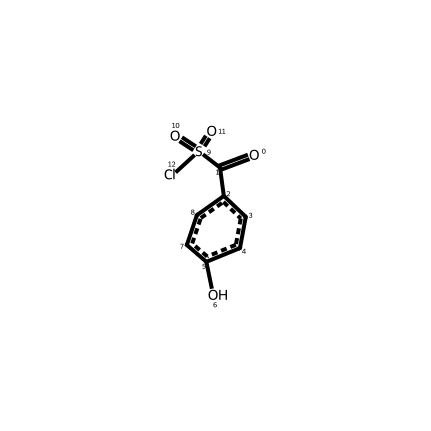 O=C(c1ccc(O)cc1)S(=O)(=O)Cl